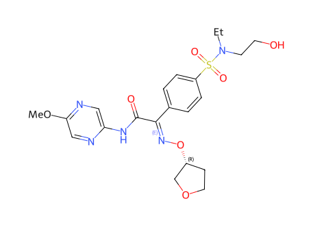 CCN(CCO)S(=O)(=O)c1ccc(/C(=N\O[C@@H]2CCOC2)C(=O)Nc2cnc(OC)cn2)cc1